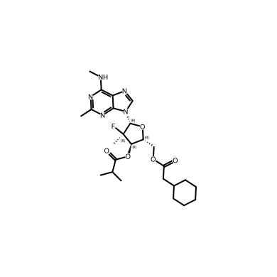 CNc1nc(C)nc2c1ncn2[C@@H]1O[C@H](COC(=O)CC2CCCCC2)[C@@H](OC(=O)C(C)C)[C@@]1(C)F